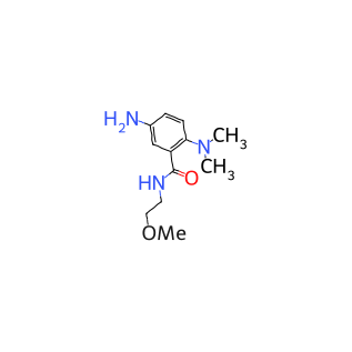 COCCNC(=O)c1cc(N)ccc1N(C)C